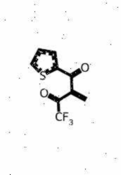 C=C(C(=O)c1cccs1)C(=O)C(F)(F)F